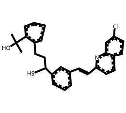 CC(C)(O)c1ccccc1CCC(S)c1cccc(C=Cc2ccc3ccc(Cl)cc3n2)c1